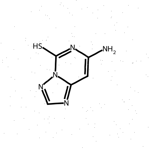 Nc1cc2ncnn2c(S)n1